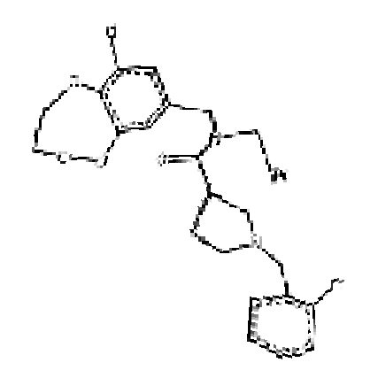 CCc1ccccc1CN1CCC(C(=O)N(Cc2cc(Cl)c3c(c2)OCCCO3)CC(C)C)C1